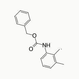 [CH2]c1c(C)cccc1NC(=O)OCc1ccccc1